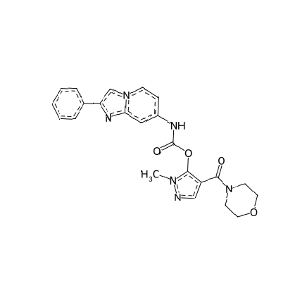 Cn1ncc(C(=O)N2CCOCC2)c1OC(=O)Nc1ccn2cc(-c3ccccc3)nc2c1